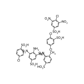 Cc1ccc(S(=O)(=O)O)cc1[N+](=O)[O-].Nc1c([N+](=O)[O-])cc(S(=O)(=O)O)cc1[N+](=O)[O-].O=S(=O)(O)c1cc(Cl)ccc1Cl.O=S(=O)(O)c1ccc(Cl)cc1.O=[N+]([O-])c1cc(S(=O)(=O)O)cc([N+](=O)[O-])c1Cl